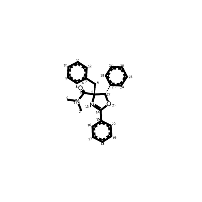 CN(C)C(=O)[C@@]1(Cc2ccccc2)N=C(c2ccccc2)O[C@H]1c1ccccc1